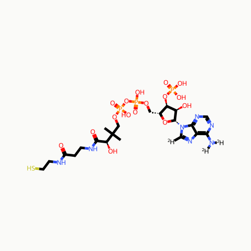 [2H]c1nc2c(N([2H])[2H])ncnc2n1[C@@H]1O[C@H](COP(=O)(O)OP(=O)(O)OCC(C)(C)[C@@H](O)C(=O)NCCC(=O)NCCS)[C@@H](OP(=O)(O)O)[C@H]1O